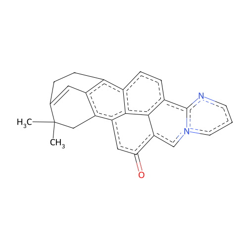 CC1(C)Cc2c3c(c4ccc5c6c4c2cc(=O)c-6cn2cccnc52)CCC1=C3